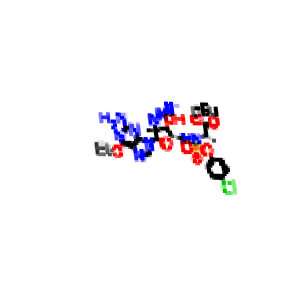 CCCCOC(=O)[C@H](C)NP(=O)(OC[C@H]1O[C@@H](n2cnc3c(OCC)nc(N)nc32)[C@](C)(N=[N+]=[N-])[C@@H]1O)Oc1ccc(Cl)cc1